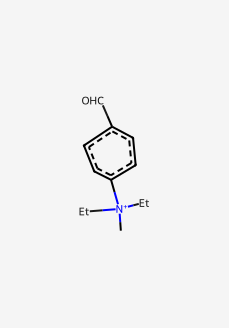 CC[N+](C)(CC)c1ccc(C=O)cc1